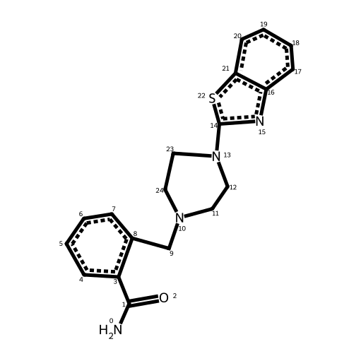 NC(=O)c1ccccc1CN1CCN(c2nc3ccccc3s2)CC1